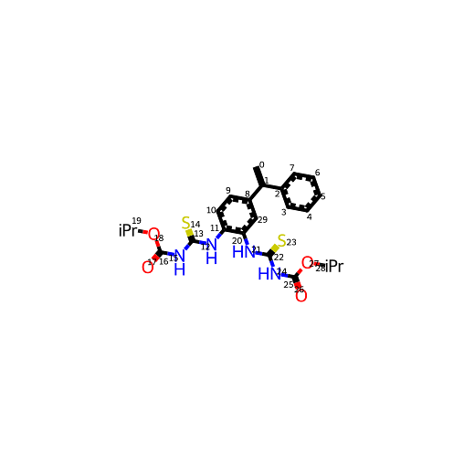 C=C(c1ccccc1)c1ccc(NC(=S)NC(=O)OC(C)C)c(NC(=S)NC(=O)OC(C)C)c1